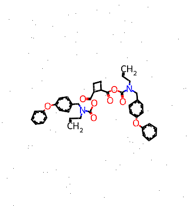 C=CCN(Cc1ccc(Oc2ccccc2)cc1)C(=O)OC(=O)C1CCC1C(=O)OC(=O)N(CC=C)Cc1ccc(Oc2ccccc2)cc1